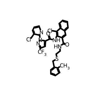 Cc1ccccc1CSCCNC(=O)c1cc2ccccc2c(Cl)c1NC(=O)c1cc(C(F)(F)F)nn1-c1ncccc1Cl